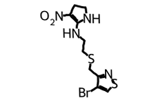 O=[N+]([O-])C1=C(NCCSCc2nscc2Br)NCC1